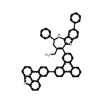 CCC1=C(c2ccc3c4ccccc4c4ccc(-c5ccc6c(c5)c5cccc7oc8cccc6c8c75)cc4c3c2)c2oc3ccc(-c4ccccc4)cc3c2NC(c2ccccc2)C1